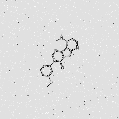 COc1cccc(-n2cnc3c(sc4nccc(N(C)C)c43)c2=O)c1